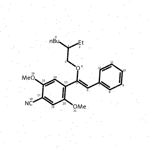 CCCCC(CC)COC(=Cc1ccccc1)c1cc(OC)c(C#N)cc1OC